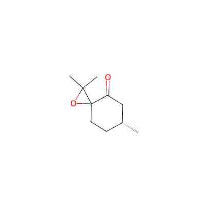 C[C@@H]1CCC2(OC2(C)C)C(=O)C1